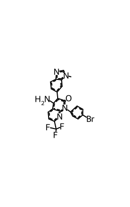 Cn1cnc2ccc(-c3c(N)c4ccc(C(F)(F)F)nc4n(-c4ccc(Br)cc4)c3=O)cc21